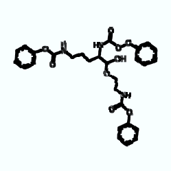 O=C(NC(CCCNC(=O)Oc1ccccc1)C(O)OCCNC(=O)Oc1ccccc1)OOc1ccccc1